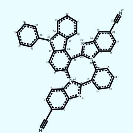 N#Cc1ccc2c(c1)nc1c3ccccc3n3c4ccc(C#N)cc4nc3c3c4c5ccccc5n(-c5ccccc5)c4ccc3n21